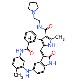 Cc1ccc(NC(=O)c2ccccc2)cc1Nc1ccc2c(c1)C(=Cc1[nH]c(C)c(C(=O)NCCN3CCCC3)c1C)C(=O)N2